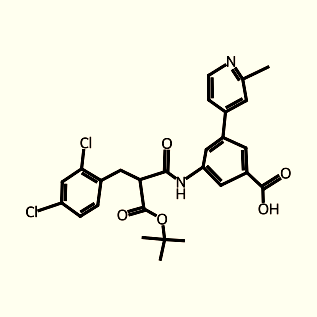 Cc1cc(-c2cc(NC(=O)C(Cc3ccc(Cl)cc3Cl)C(=O)OC(C)(C)C)cc(C(=O)O)c2)ccn1